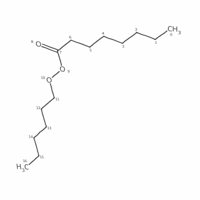 CCCCCCCC(=O)OOCCCCCC